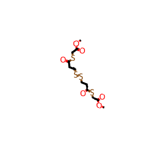 COC(=O)CSC(=O)CCSSCCC(=O)SCC(=O)OC